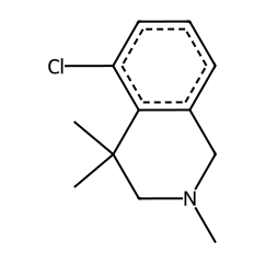 CN1Cc2cccc(Cl)c2C(C)(C)C1